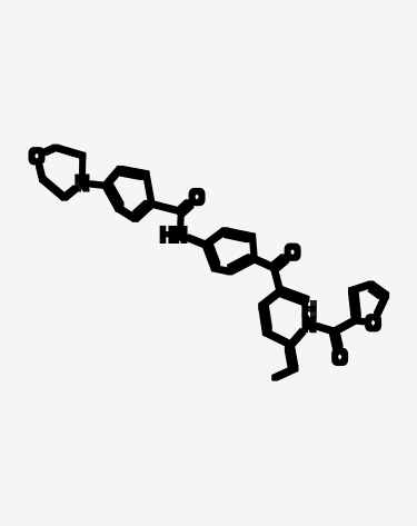 C=C(/C=C\C(=C/C)NC(=O)c1ccco1)C(=O)c1ccc(NC(=O)c2ccc(N3CCOCC3)cc2)cc1